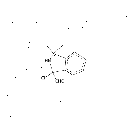 CC1(C)NC(Cl)(C=O)c2ccccc21